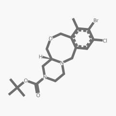 Cc1c(Br)c(Cl)cc2c1COC[C@H]1CN(C(=O)OC(C)(C)C)CCN1C2